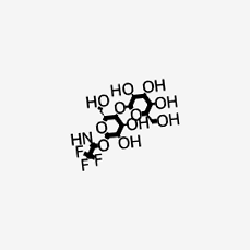 N=C(OC1O[C@H](CO)[C@@H](O[C@@H]2O[C@H](CO)[C@H](O)[C@H](O)[C@H]2O)[C@H](O)[C@H]1O)C(F)(F)F